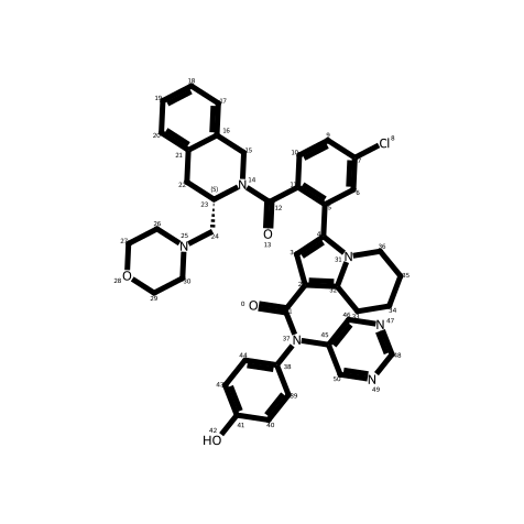 O=C(c1cc(-c2cc(Cl)ccc2C(=O)N2Cc3ccccc3C[C@H]2CN2CCOCC2)n2c1CCCC2)N(c1ccc(O)cc1)c1cncnc1